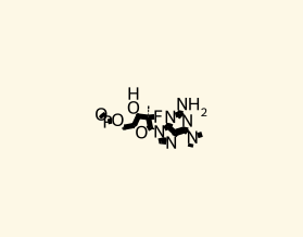 CN(C)c1nc(N)nc2c1ncn2[C@@H]1OC(COP=O)[C@@H](O)[C@@]1(C)F